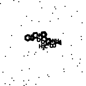 Cn1cc(-c2cccc(N3CCc4c(cc5n4CCCC5)C3=O)c2CO)cc(NC(=O)C2CC2)c1=O